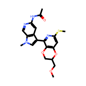 COCC1COc2c(cc(SC)nc2-c2cn(C)c3cnc(NC(C)=O)cc23)O1